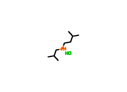 CC(C)CCPCC(C)C.Cl